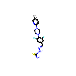 NC(=S)N/N=C/c1cc(F)c(N2CCN(c3ccc(C(F)(F)F)cn3)CC2)c(F)c1